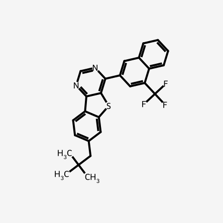 CC(C)(C)Cc1ccc2c(c1)sc1c(-c3cc(C(F)(F)F)c4ccccc4c3)ncnc12